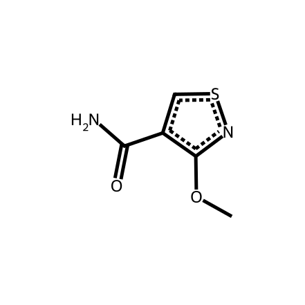 COc1nscc1C(N)=O